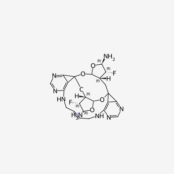 N[C@@H]1OC2OC34C[C@@H]5C(O[C@@H](N)[C@@H]5F)OC5(C[C@H]2[C@H]1F)c1ncnc(c15)NC/C=C/CNc1ncnc3c14